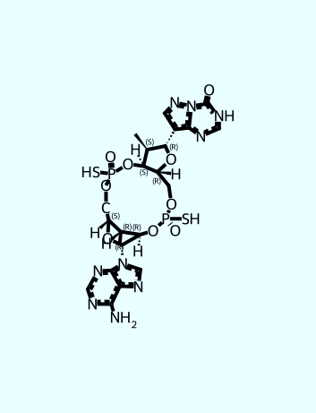 C[C@@H]1[C@@H]2OP(=O)(S)OC[C@H]3O[C@@H](n4cnc5c(N)ncnc54)[C@H](OP(=O)(S)OC[C@H]2O[C@H]1c1cnn2c(=O)[nH]cnc12)[C@@H]3C